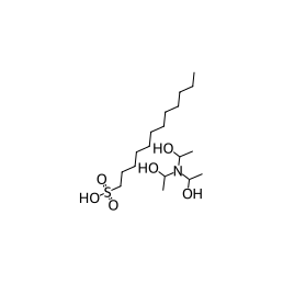 CC(O)N(C(C)O)C(C)O.CCCCCCCCCCCCS(=O)(=O)O